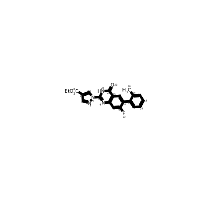 CCOC(=O)c1cnn(-c2nc3cc(F)c(-c4ccccc4C)cc3c(=O)[nH]2)c1